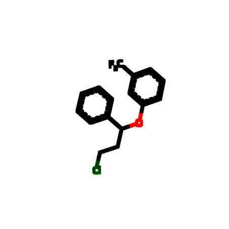 FC(F)(F)c1cccc(OC(CCCl)c2ccccc2)c1